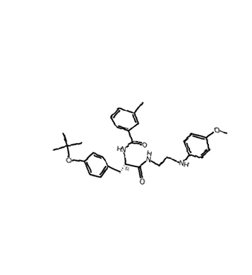 COc1ccc(NCCNC(=O)[C@H](Cc2ccc(OC(C)(C)C)cc2)NC(=O)c2cccc(C)c2)cc1